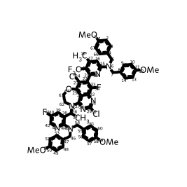 COc1ccc(CN(Cc2ccc(OC)cc2)c2cc(C)c(C(F)(F)F)c(-c3c(Cl)c4c5c(nc(Cl)nc5c3F)N(C(C)c3cc(F)cnc3N(Cc3ccc(OC)cc3)Cc3ccc(OC)cc3)CCO4)n2)cc1